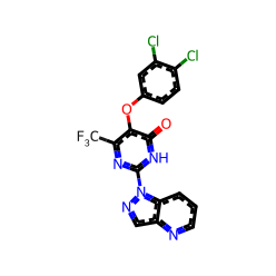 O=c1[nH]c(-n2ncc3ncccc32)nc(C(F)(F)F)c1Oc1ccc(Cl)c(Cl)c1